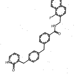 O=C(NCc1ccc2ccccc2c1F)c1cccc(Cc2ccc(Cc3ccc[nH]c3=O)cc2)c1